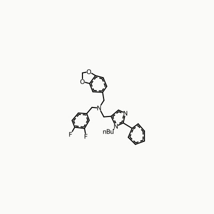 CCCCn1c(CN(Cc2ccc(F)c(F)c2)Cc2ccc3c(c2)OCO3)cnc1-c1ccccc1